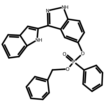 O=P(OCc1ccccc1)(Oc1ccc2[nH]nc(-c3cc4ccccc4[nH]3)c2c1)c1ccccc1